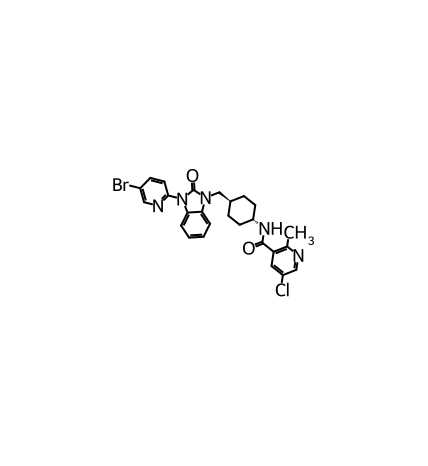 Cc1ncc(Cl)cc1C(=O)N[C@H]1CC[C@H](Cn2c(=O)n(-c3ccc(Br)cn3)c3ccccc32)CC1